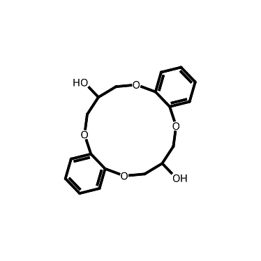 OC1COc2ccccc2OCC(O)COc2ccccc2OC1